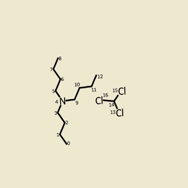 CCCCN(CCCC)CCCC.ClC(Cl)Cl